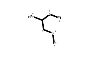 CCCC(CSCC)SCC